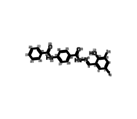 O=C(N/N=C/c1cc(I)cc(I)c1O)c1ccc(NC(=O)c2ccccc2)cc1